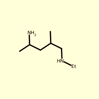 CCNCC(C)CC(C)N